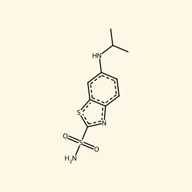 CC(C)Nc1ccc2nc(S(N)(=O)=O)sc2c1